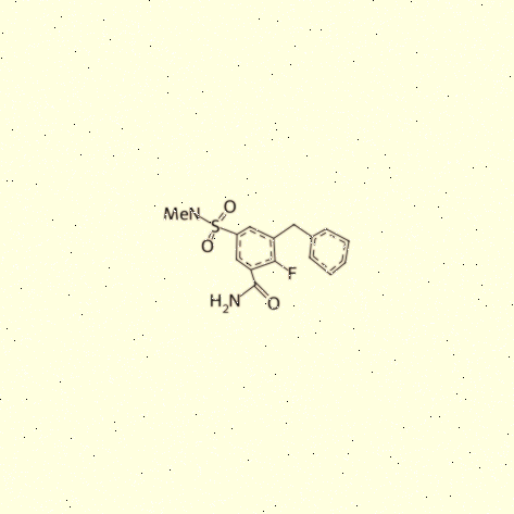 CNS(=O)(=O)c1cc(Cc2ccccc2)c(F)c(C(N)=O)c1